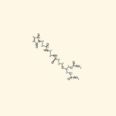 NC(=O)OCC(COC(N)=O)OCCCC(=O)NCCNC(=O)CCN1C(=O)C=CC1=O